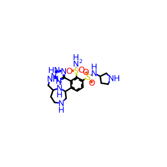 NCC1CCNCC(c2ccc(S(=O)(=O)NC3CCNC3)c(S(N)(=O)=O)c2-c2nn[nH]n2)N1